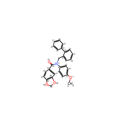 COc1ccc(N(Cc2ccccc2-c2ccccc2)C(=O)c2ccc3c(c2)OCO3)cc1